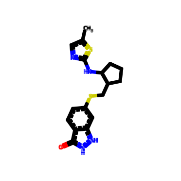 Cc1cnc(NC2CCCC2CSc2ccc3c(=O)[nH][nH]c3c2)s1